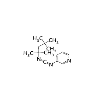 CC(C)(C)CC(C)(C)N=C=Nc1cccnc1